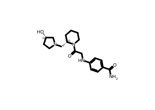 NC(=O)c1ccc(NCC(=O)N2CCCC[C@H]2CN2CC[C@H](O)C2)cc1